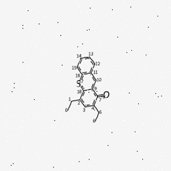 CCc1cc(CC)c(=O)c2cc3ccccc3sc1-2